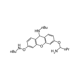 CCCCNOc1ccc2c(c1)Oc1cc(OC(N)CCC)ccc1C2NCCCC